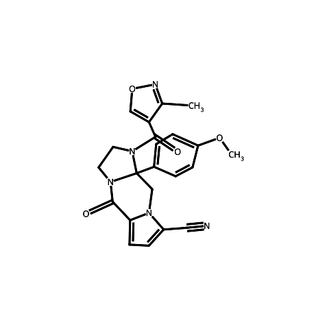 COc1ccc(C23Cn4c(C#N)ccc4C(=O)N2CCN3C(=O)c2conc2C)cc1